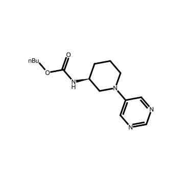 CCCCOC(=O)N[C@H]1CCCN(c2cncnc2)C1